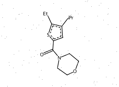 CCc1sc(C(=O)N2CCOCC2)cc1C(C)C